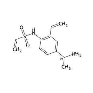 C=Cc1cc([C@@H](C)N)ccc1NS(=O)(=O)C=C